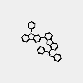 C(=C(\c1ccccc1)c1cccc2c1sc1c(-c3ccc4c5ccccc5n(-c5ccccc5)c4c3)cccc12)/c1ccccc1